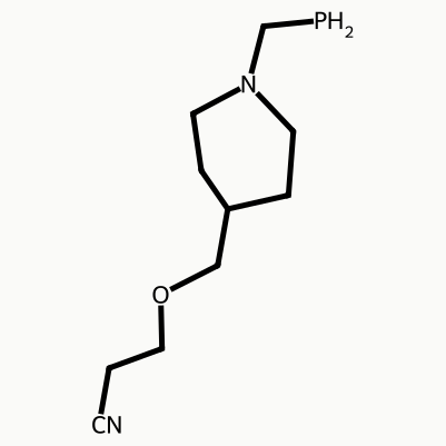 N#CCCOCC1CCN(CP)CC1